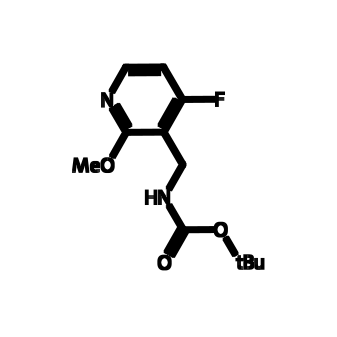 COc1nccc(F)c1CNC(=O)OC(C)(C)C